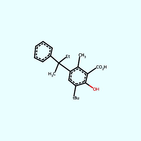 CCC(C)(c1ccccc1)c1cc(C(C)(C)C)c(O)c(C(=O)O)c1C